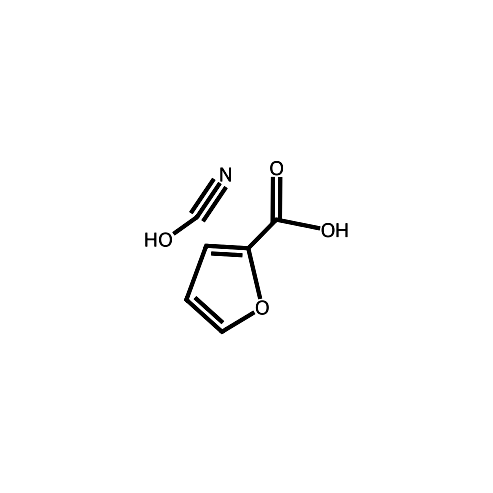 N#CO.O=C(O)c1ccco1